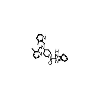 Cc1cccnc1CN(Cc1ncccc1C)C1CCN(C(=O)c2nc3ccccc3[nH]2)CC1